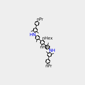 CCCCCCc1cc(-c2ccc(Nc3c(C)cc(-c4ccc(CCC)cc4)cc3C)cc2C)c(CCCCCC)cc1-c1ccc(Nc2c(C)cc(-c3ccc(CCC)cc3)cc2C)cc1C